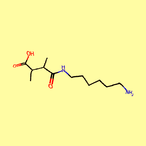 CC(C(=O)O)C(C)C(=O)NCCCCCCN